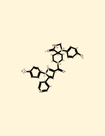 O=C(c1cc(-c2ccncc2)n(-c2ccc(C(F)(F)F)cc2)n1)N1CCC2(CC1)C(=O)NCN2c1ccc(Cl)cc1